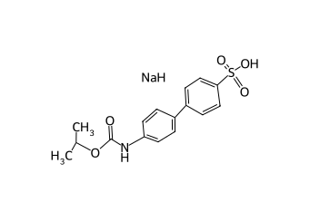 CC(C)OC(=O)Nc1ccc(-c2ccc(S(=O)(=O)O)cc2)cc1.[NaH]